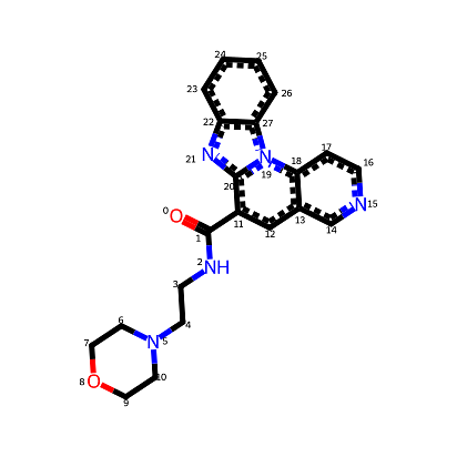 O=C(NCCN1CCOCC1)c1cc2cnccc2n2c1nc1ccccc12